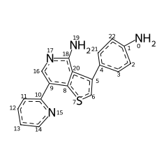 Nc1ccc(-c2csc3c(-c4ccccn4)cnc(N)c23)cc1